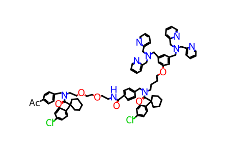 CC(=O)c1ccc(CN(CCOCCOCCNC(=O)c2ccc(CN(CCCCOc3cc(CN(Cc4ccccn4)Cc4ccccn4)cc(CN(Cc4ccccn4)Cc4ccccn4)c3)C(=O)C3(c4ccc(Cl)cc4)CCCCC3)cc2)C(=O)C2(c3ccc(Cl)cc3)CCCCC2)cc1